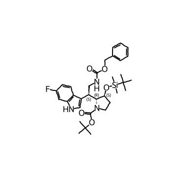 CC(C)(C)OC(=O)N1CC[C@H](O[Si](C)(C)C(C)(C)C)[C@H]1[C@H](CNC(=O)OCc1ccccc1)c1c[nH]c2cc(F)ccc12